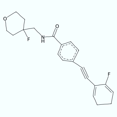 O=C(NCC1(F)CCOCC1)c1ccc(C#CC2=CCCC=C2F)cc1